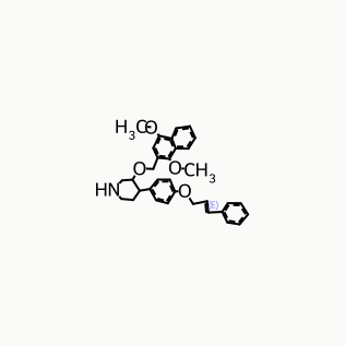 COc1cc(COC2CNCCC2c2ccc(OC/C=C/c3ccccc3)cc2)c(OC)c2ccccc12